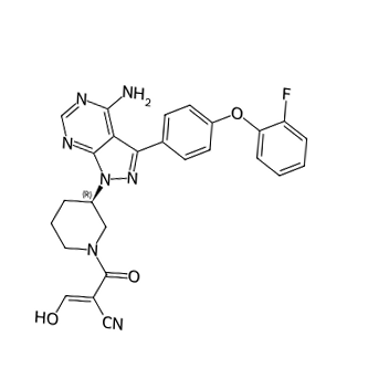 N#CC(=CO)C(=O)N1CCC[C@@H](n2nc(-c3ccc(Oc4ccccc4F)cc3)c3c(N)ncnc32)C1